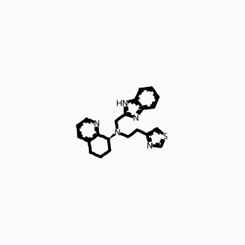 c1cnc2c(c1)CCC[C@@H]2N(CCc1cscn1)Cc1nc2ccccc2[nH]1